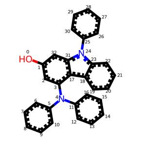 Oc1cc(N(c2ccccc2)c2ccccc2)c2c3ccccc3n(-c3ccccc3)c2c1